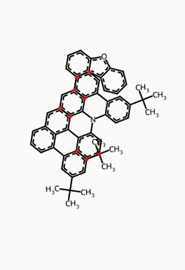 CC(C)(C)c1cc(-c2cccc3cccc(-c4ccccc4N(c4cccc(-c5cccc6oc7ccccc7c56)c4)c4ccc(C(C)(C)C)cc4-c4ccccc4)c23)cc(C(C)(C)C)c1